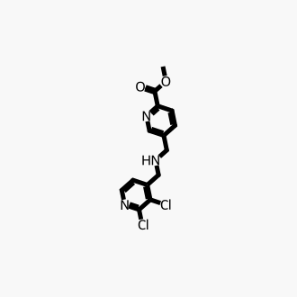 COC(=O)c1ccc(CNCc2ccnc(Cl)c2Cl)cn1